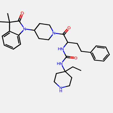 CCC1(NC(=O)NC(CCc2ccccc2)C(=O)N2CCC(N3C(=O)C(C)(C)c4ccccc43)CC2)CCNCC1